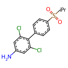 CC(C)S(=O)(=O)c1ccc(-c2c(Cl)cc(N)cc2Cl)cc1